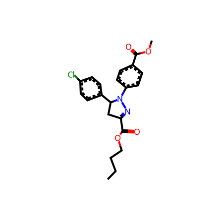 CCCCOC(=O)C1=NN(c2ccc(C(=O)OC)cc2)C(c2ccc(Cl)cc2)C1